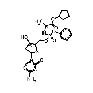 C[C@H](NP(=O)(OCC1SC(n2cnc(N)nc2=O)C[C@H]1O)Oc1ccccc1)C(=O)OC1CCCC1